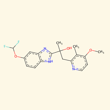 COc1ccnc(CC(C)(O)c2nc3cc(OC(F)F)ccc3[nH]2)c1C